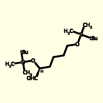 CC(C)(C)[Si](C)(C)OCCCC[C@@H](C=O)O[Si](C)(C)C(C)(C)C